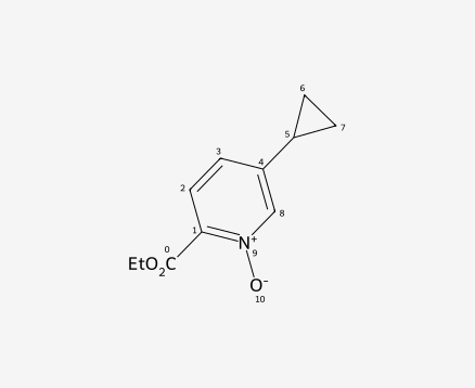 CCOC(=O)c1ccc(C2CC2)c[n+]1[O-]